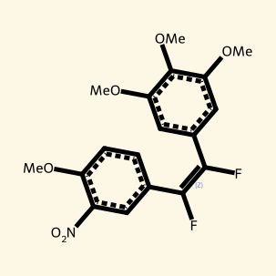 COc1ccc(/C(F)=C(/F)c2cc(OC)c(OC)c(OC)c2)cc1[N+](=O)[O-]